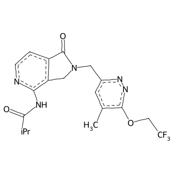 Cc1cc(CN2Cc3c(ccnc3NC(=O)C(C)C)C2=O)nnc1OCC(F)(F)F